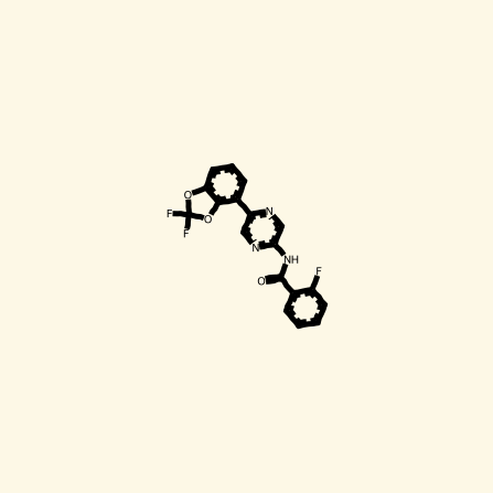 O=C(Nc1cnc(-c2cccc3c2OC(F)(F)O3)cn1)c1ccccc1F